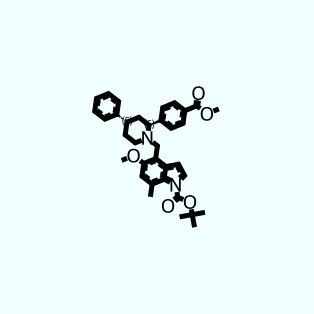 COC(=O)c1ccc([C@@H]2C[C@@H](c3ccccc3)CCN2Cc2c(OC)cc(C)c3c2ccn3C(=O)OC(C)(C)C)cc1